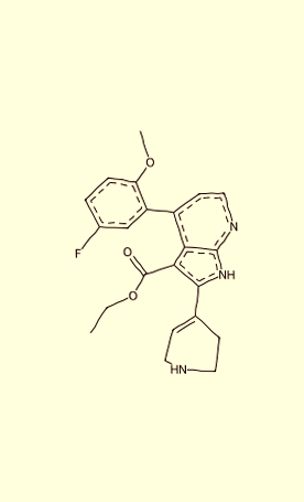 CCOC(=O)c1c(C2=CCNCC2)[nH]c2nccc(-c3cc(F)ccc3OC)c12